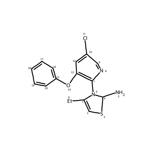 CCC1=CSC(N)N1c1ncc(Cl)cc1Oc1ccccc1